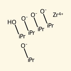 CC(C)O.CC(C)[O-].CC(C)[O-].CC(C)[O-].CC(C)[O-].[Zr+4]